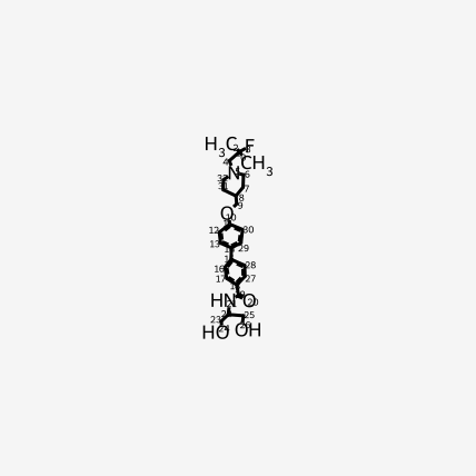 CC(C)(F)CN1CCC(COc2ccc(-c3ccc(C(=O)NC(CO)CO)cc3)cc2)CC1